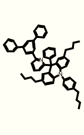 CCCCc1ccc(N2c3ccc(CCCC)cc3C(c3ccccc3)(c3cccc(-c4cc(-c5ccccc5)cc(-c5ccccc5)c4)n3)c3cc(CCCC)ccc32)cc1